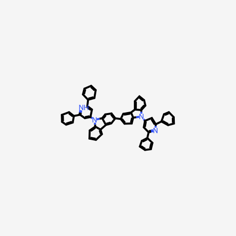 N=C(/C=C(\C=C\c1ccccc1)n1c2ccccc2c2cc(-c3ccc4c(c3)c3ccccc3n4-c3cc(-c4ccccc4)nc(-c4ccccc4)c3)ccc21)c1ccccc1